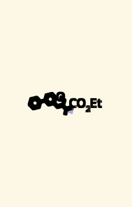 CCOC(=O)/C=C(/C)C1=Cc2cc(-c3ccccc3)ccc2OC1